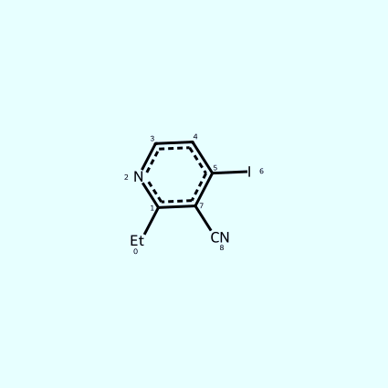 CCc1nccc(I)c1C#N